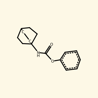 O=C(NC12CCC(CC1)CC2)Oc1ccccc1